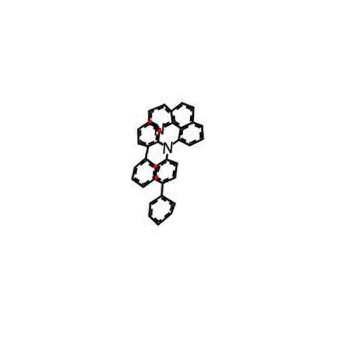 c1ccc(-c2ccc(N(c3ccccc3-c3ccccc3)c3cccc4ccc5cccnc5c34)cc2)cc1